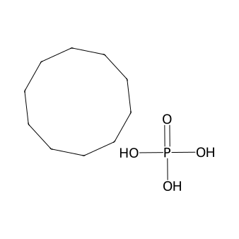 C1CCCCCCCCC1.O=P(O)(O)O